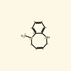 NN1CC=CCNc2ccccc21